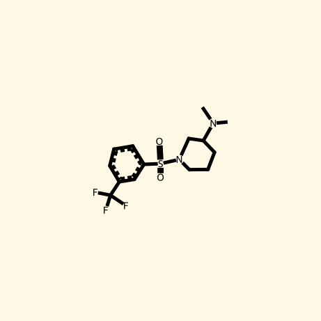 CN(C)C1CCCN(S(=O)(=O)c2cccc(C(F)(F)F)c2)C1